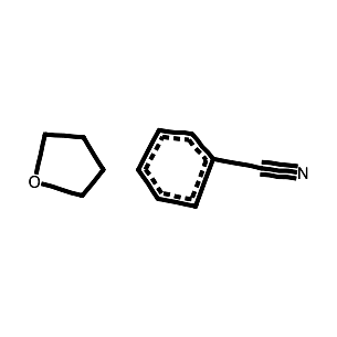 C1CCOC1.N#Cc1ccccc1